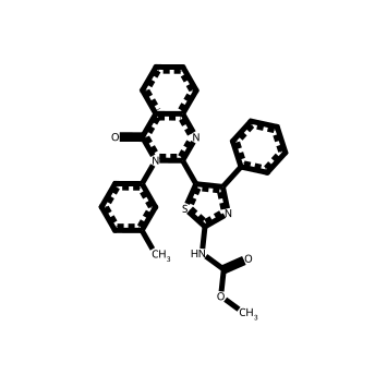 COC(=O)Nc1nc(-c2ccccc2)c(-c2nc3ccccc3c(=O)n2-c2cccc(C)c2)s1